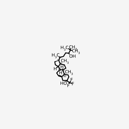 C[C@@H](CCC(O)C(C)(C)C)[C@@H]1CC[C@H]2[C@@H]3CC=C4C[C@](O)(C(F)(F)F)CC[C@]4(C)[C@H]3CC[C@@]21C